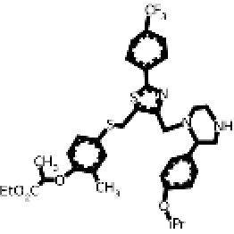 CCOC(=O)C(C)Oc1ccc(SCc2sc(-c3ccc(C(F)(F)F)cc3)nc2CN2CCNCC2c2ccc(OC(C)C)cc2)cc1C